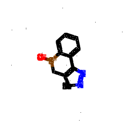 [O-][S+]1Cc2[se]nnc2-c2ccccc21